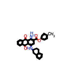 Cc1ccc(OC(=O)c2cc(NC3CCc4ccccc4C3)c3c(c2N)C(=O)c2ccccc2C3=O)cc1